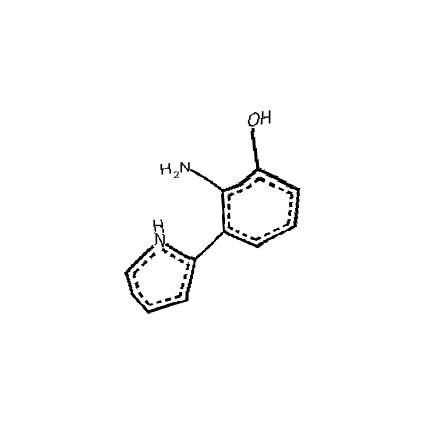 Nc1c(O)cccc1-c1ccc[nH]1